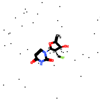 C=C1O[C@@H](n2ccc(=O)[nH]c2=O)[C@@H](CF)[C@@H]1O